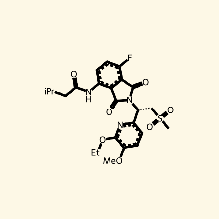 CCOc1nc([C@@H](CS(C)(=O)=O)N2C(=O)c3c(F)ccc(NC(=O)CC(C)C)c3C2=O)ccc1OC